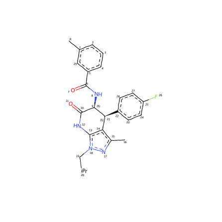 Cc1cccc(C(=O)N[C@@H]2C(=O)Nc3c(c(C)nn3CC(C)C)[C@@H]2c2ccc(F)cc2)c1